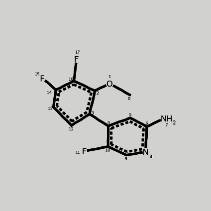 COc1c(-c2cc(N)ncc2F)ccc(F)c1F